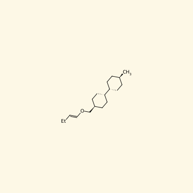 CCC=COC[C@H]1CC[C@H]([C@H]2CC[C@H](C)CC2)CC1